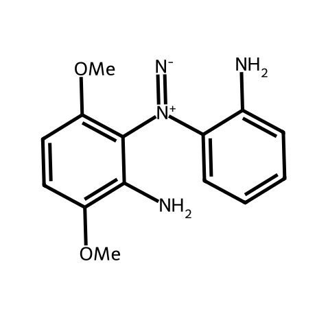 COc1ccc(OC)c([N+](=[N-])c2ccccc2N)c1N